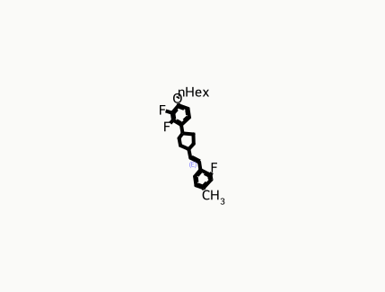 CCCCCCOc1ccc(C2CCC(/C=C/c3ccc(C)cc3F)CC2)c(F)c1F